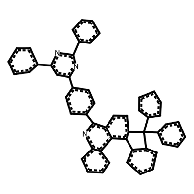 c1ccc(-c2cc(-c3ccc(-c4nc5ccccc5c5c6c(ccc45)C(c4ccccc4)(c4ccccc4)c4ccccc4-6)cc3)nc(-c3ccccc3)n2)cc1